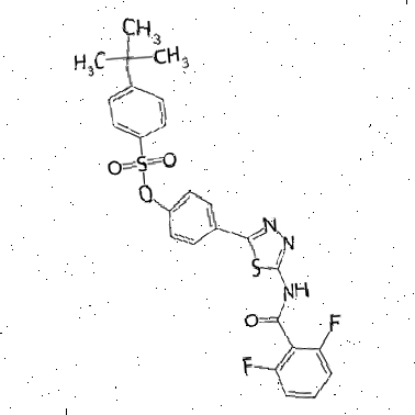 CC(C)(C)c1ccc(S(=O)(=O)Oc2ccc(-c3nnc(NC(=O)c4c(F)cccc4F)s3)cc2)cc1